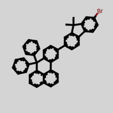 CC1(C)c2cc(Br)ccc2-c2ccc(-c3ccc4c(c3)-c3cccc5cccc(c35)C4(c3ccccc3)c3ccccc3)cc21